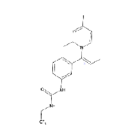 C/C=C(/c1cccc(NC(=O)NCC(F)(F)F)c1)N1C=CC(C)=CC1C